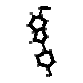 COc1cn2cc(-c3ccc(F)cc3)nc2cn1